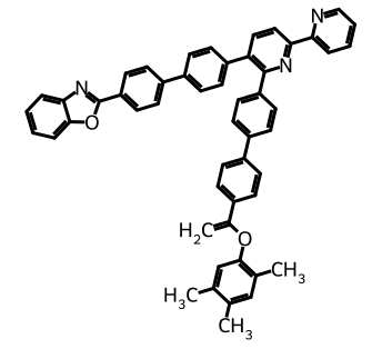 C=C(Oc1cc(C)c(C)cc1C)c1ccc(-c2ccc(-c3nc(-c4ccccn4)ccc3-c3ccc(-c4ccc(-c5nc6ccccc6o5)cc4)cc3)cc2)cc1